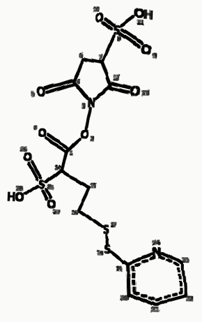 O=C(ON1C(=O)CC(S(=O)(=O)O)C1=O)C(CCSSc1ccccn1)S(=O)(=O)O